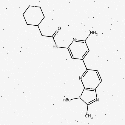 CCCCn1c(C)nc2ccc(-c3cc(N)nc(NC(=O)CC4CCCCC4)c3)nc21